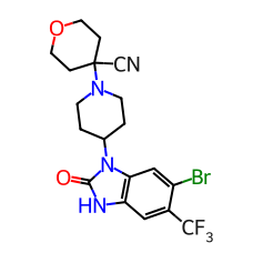 N#CC1(N2CCC(n3c(=O)[nH]c4cc(C(F)(F)F)c(Br)cc43)CC2)CCOCC1